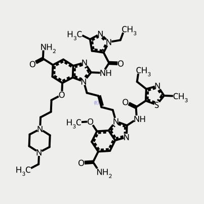 CCc1nc(C)sc1C(=O)Nc1nc2cc(C(N)=O)cc(OC)c2n1C/C=C/Cn1c(NC(=O)c2cc(C)nn2CC)nc2cc(C(N)=O)cc(OCCCN3CCN(CC)CC3)c21